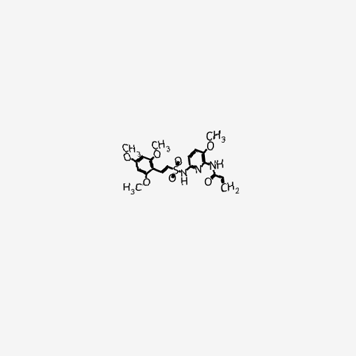 C=CC(=O)Nc1nc(NS(=O)(=O)/C=C/c2c(OC)cc(OC)cc2OC)ccc1OC